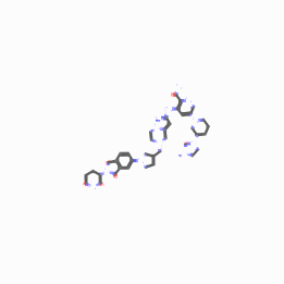 CN1CCN(C2CCCN(c3cnc(C(N)=O)c(Nc4cc5n(n4)CCN(CC4CCN(c6ccc7c(c6)C(=O)N(C6CCC(=O)NC6=O)C7=O)C4)C5)c3)C2)C1=O